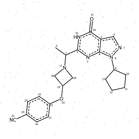 CC(c1nc2c(cnn2C2CCCC2)c(=O)[nH]1)N1CC(Oc2ccc(C#N)cc2)C1